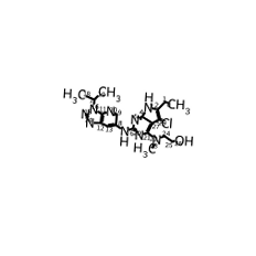 CCc1[nH]c2nc(Nc3cnc4c(c3)nnn4C(C)C)nc(N(C)CCO)c2c1Cl